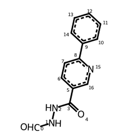 O=CNNC(=O)c1ccc(-c2ccccc2)nc1